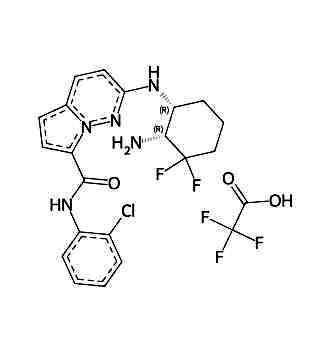 N[C@@H]1[C@H](Nc2ccc3ccc(C(=O)Nc4ccccc4Cl)n3n2)CCCC1(F)F.O=C(O)C(F)(F)F